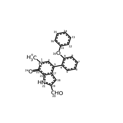 Cn1cc(-c2ccccc2Oc2ccccc2)c2cc(C=O)[nH]c2c1=O